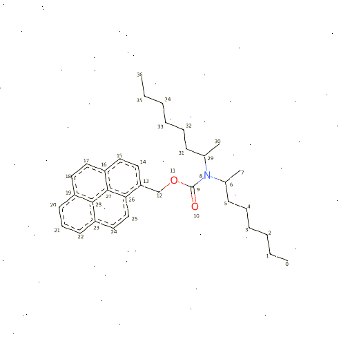 CCCCCCC(C)N(C(=O)OCc1ccc2ccc3cccc4ccc1c2c34)C(C)CCCCCC